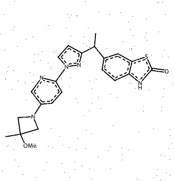 COC1(C)CN(c2ccc(-n3ccc(C(C)c4ccc5[nH]c(=O)sc5c4)n3)nc2)C1